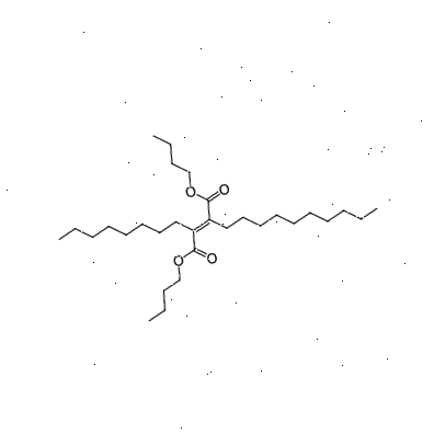 CCCCCCCCCCC(C(=O)OCCCC)=C(CCCCCCCC)C(=O)OCCCC